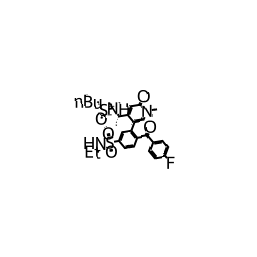 CCCC[S@+]([O-])N[C@@H](C)c1cc(=O)n(C)cc1-c1cc(S(=O)(=O)NCC)ccc1C(=O)c1ccc(F)cc1